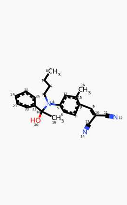 CCCCN(c1ccc(C=C(C#N)C#N)c(C)c1)C(C)(O)c1ccccc1